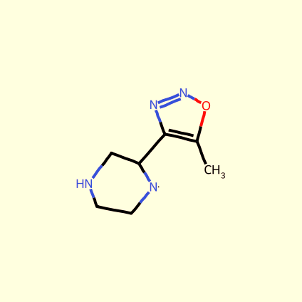 Cc1onnc1C1CNCC[N]1